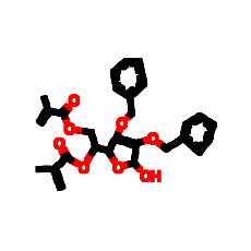 C=C(C)C(=O)OCC(OC(=O)C(=C)C)C1OC(O)C(OCc2ccccc2)=C1OCc1ccccc1